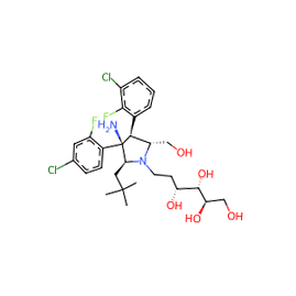 CC(C)(C)C[C@@H]1N(CC[C@@H](O)[C@H](O)[C@H](O)CO)[C@@H](CO)[C@H](c2cccc(Cl)c2F)[C@@]1(N)c1ccc(Cl)cc1F